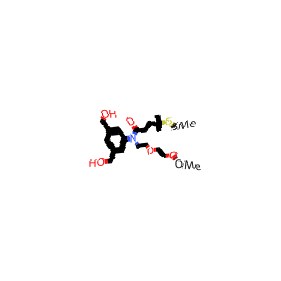 COOCCOCCN(C(=O)CCC(C)(C)SSC)c1cc(CO)cc(CO)c1